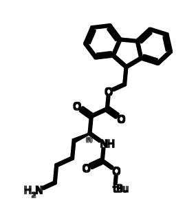 CC(C)(C)OC(=O)N[C@@H](CCCCN)C(=O)C(=O)OCC1c2ccccc2-c2ccccc21